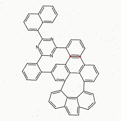 c1ccc(-c2nc(-c3ccccc3-c3cc4ccc5cccc6c7cccc8ccc9cccc(c(c3)c4c56)c9c87)nc(-c3cccc4ccccc34)n2)cc1